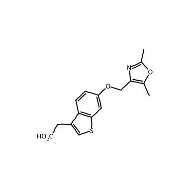 Cc1nc(COc2ccc3c(CC(=O)O)csc3c2)c(C)o1